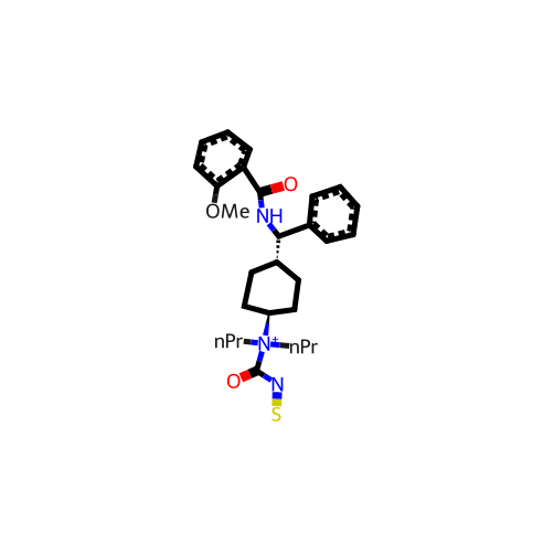 CCC[N+](CCC)(C(=O)N=S)[C@H]1CC[C@H](C(NC(=O)c2ccccc2OC)c2ccccc2)CC1